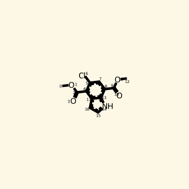 COC(=O)c1c(Cl)cc(C(=O)OC)c2[nH]ccc12